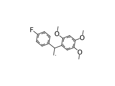 [CH2]C(c1ccc(F)cc1)c1cc(OC)c(OC)cc1OC